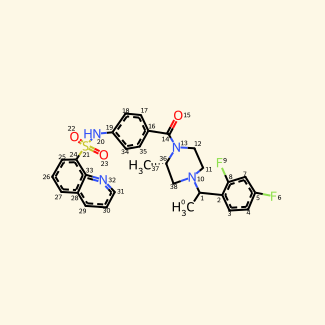 CC(c1ccc(F)cc1F)N1CCN(C(=O)c2ccc(NS(=O)(=O)c3cccc4cccnc34)cc2)[C@@H](C)C1